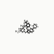 Cc1c(Cc2c(CN3CC(C)NC(C)C3)nc3cnc(N4CCOCC4)cn23)cccc1C(F)(F)F